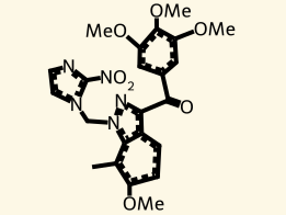 COc1cc(C(=O)c2nn(Cn3ccnc3[N+](=O)[O-])c3c(C)c(OC)ccc23)cc(OC)c1OC